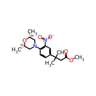 COC(=O)CC(C)(C)c1ccc(N2C[C@@H](C)O[C@@H](C)C2)c([N+](=O)[O-])c1